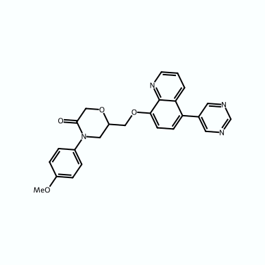 COc1ccc(N2CC(COc3ccc(-c4cncnc4)c4cccnc34)OCC2=O)cc1